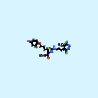 COC(=O)c1nc(NCCCc2c(Cl)nnc(Cl)c2C)sc1CCCOc1ccc(I)cc1F